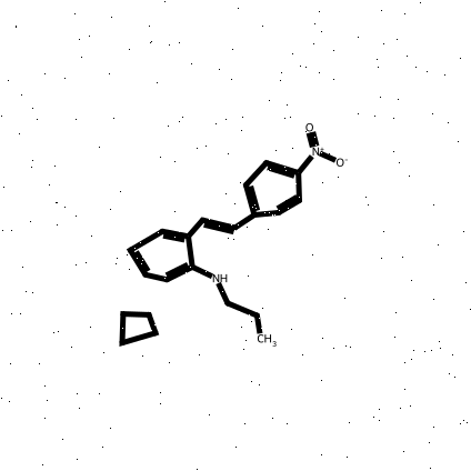 C1CCC1.CCCNc1ccccc1C=Cc1ccc([N+](=O)[O-])cc1